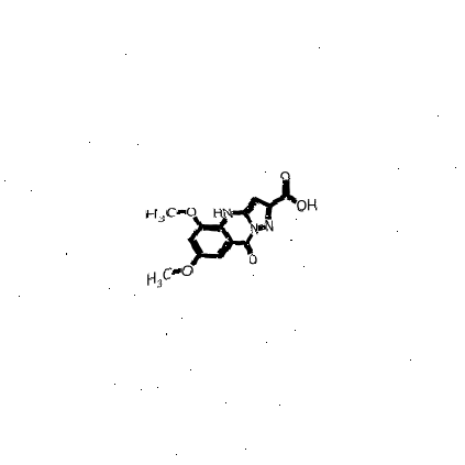 COc1cc(OC)c2[nH]c3cc(C(=O)O)nn3c(=O)c2c1